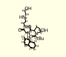 CC(C)(C)C(=O)N1CCCC1C(=O)N[C@H](Cc1ccc2ccccc2c1)C(=O)NCCNCCO.Cl